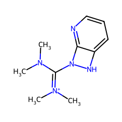 CN(C)C(n1[nH]c2cccnc21)=[N+](C)C